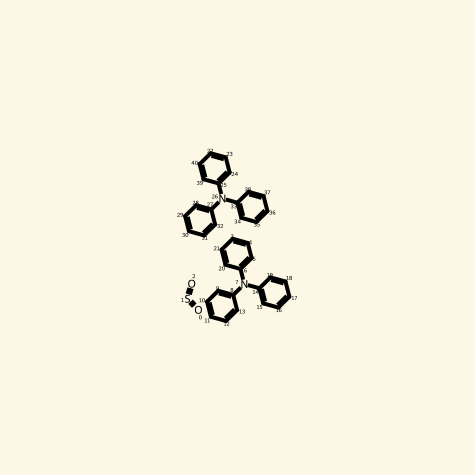 O=S=O.c1ccc(N(c2ccccc2)c2ccccc2)cc1.c1ccc(N(c2ccccc2)c2ccccc2)cc1